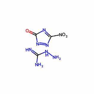 N=C(N)NN.O=C1N=NC([N+](=O)[O-])=N1